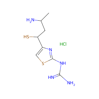 CC(N)CC(S)c1csc(NC(=N)N)n1.Cl